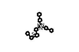 c1ccc(-c2ccc(-c3nc(-c4ccc(-c5ccccc5)cc4)nc(-c4cccc(-c5cccc6c5sc5c(-c7ccccc7)cccc56)c4)n3)cc2)cc1